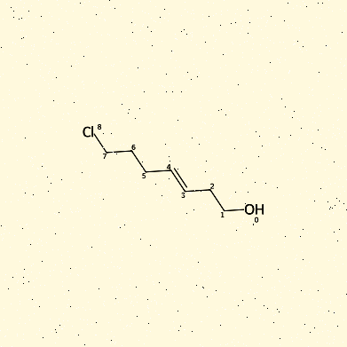 OCC/C=C/CCCCl